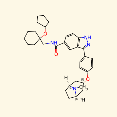 CN1[C@@H]2CC[C@H]1C[C@H](Oc1ccc(-c3n[nH]c4ccc(C(=O)NCC5(OC6CCCC6)CCCCC5)cc34)cc1)C2